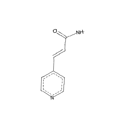 [NH]C(=O)C=Cc1ccncc1